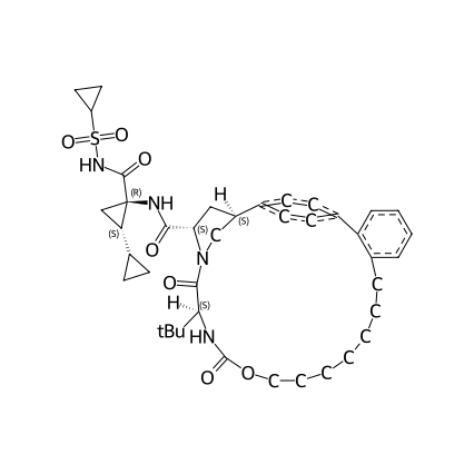 CC(C)(C)[C@@H]1NC(=O)OCCCCCCCc2ccccc2-c2ccc(cc2)[C@@H]2C[C@@H](C(=O)N[C@]3(C(=O)NS(=O)(=O)C4CC4)C[C@H]3C3CC3)N(C2)C1=O